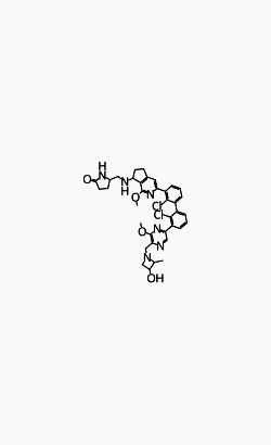 COc1nc(-c2cccc(-c3cccc(-c4cc5c(c(OC)n4)C(NCC4CCC(=O)N4)CC5)c3Cl)c2Cl)cnc1CN1CC(O)C1C